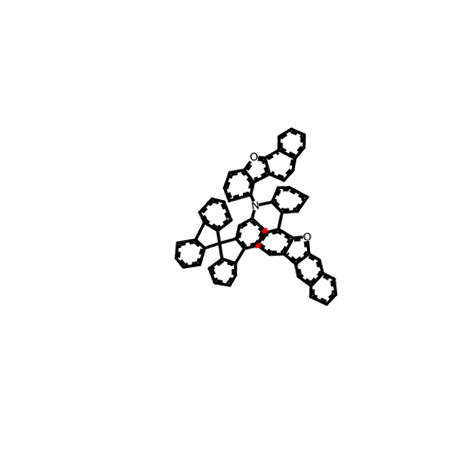 c1ccc(N(c2ccc3c(c2)C2(c4ccccc4-c4ccccc42)c2ccccc2-3)c2cccc3oc4c5ccccc5ccc4c23)c(-c2cccc3c2oc2cc4ccccc4cc23)c1